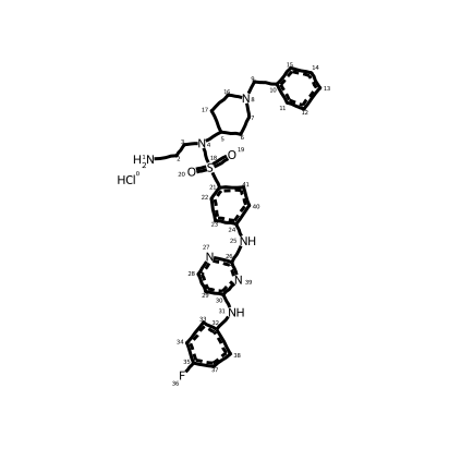 Cl.NCCN(C1CCN(Cc2ccccc2)CC1)S(=O)(=O)c1ccc(Nc2nccc(Nc3ccc(F)cc3)n2)cc1